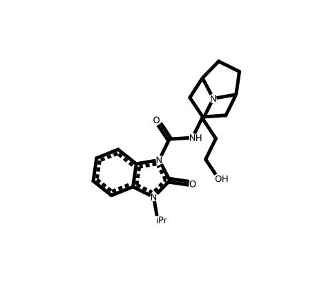 CC(C)n1c(=O)n(C(=O)NC2CC3CCC(C2)N3CCCO)c2ccccc21